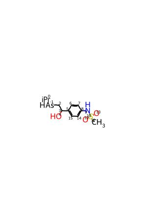 CC(C)[AsH]CC(O)c1ccc(NS(C)(=O)=O)cc1